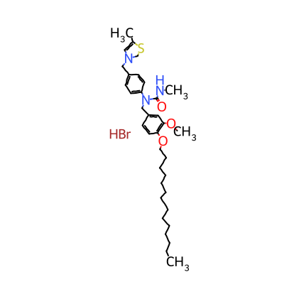 Br.CCCCCCCCCCCCCCOc1ccc(CN(C(=O)NC)c2ccc(CN3C=C(C)SC3)cc2)cc1OC